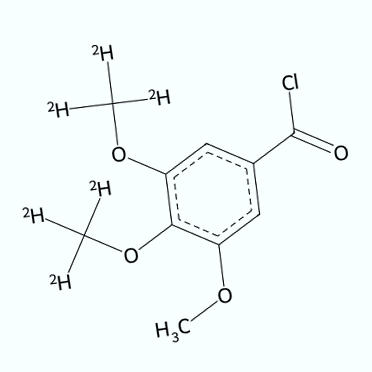 [2H]C([2H])([2H])Oc1cc(C(=O)Cl)cc(OC)c1OC([2H])([2H])[2H]